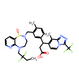 CCC(F)(F)CN1CCN(Cc2cc(C(CC(=O)O)c3ccn4c(C(F)(F)F)nnc4c3C)ccc2C)[S+]([O-])c2cccnc21